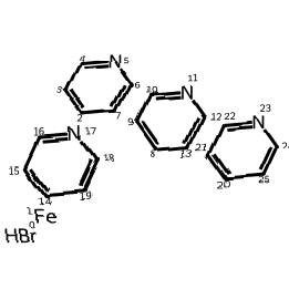 Br.[Fe].c1ccncc1.c1ccncc1.c1ccncc1.c1ccncc1